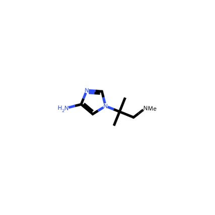 CNCC(C)(C)n1cnc(N)c1